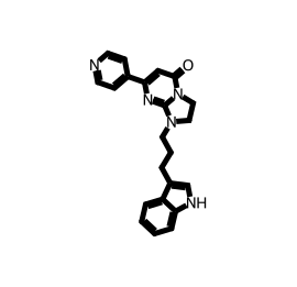 O=c1cc(-c2ccncc2)nc2n1CCN2CCCc1c[nH]c2ccccc12